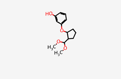 COC(OC)[C]1CCCC1Oc1cccc(O)c1